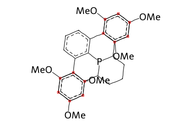 COc1cc(OC)c(-c2cccc(-c3c(OC)cc(OC)cc3OC)c2P2C(c3ccccc3)CCCC2c2ccccc2)c(OC)c1